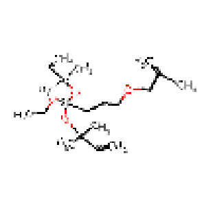 C=C[Si](C)(C)O[Si](CCCOCC(=C)C)(OCC)O[Si](C)(C)C=C